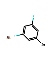 Br.Fc1cc(F)c[c]([Zn])c1